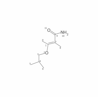 C/C(OCC(C)C)=C(/C)C(N)=O